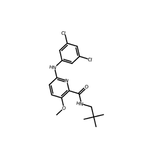 COc1ccc(Nc2cc(Cl)cc(Cl)c2)nc1C(=O)NCC(C)(C)C